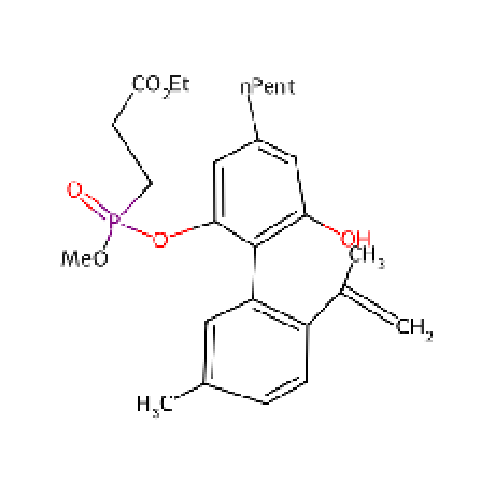 C=C(C)c1ccc(C)cc1-c1c(O)cc(CCCCC)cc1OP(=O)(CCC(=O)OCC)OC